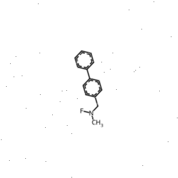 CN(F)Cc1ccc(-c2ccccc2)cc1